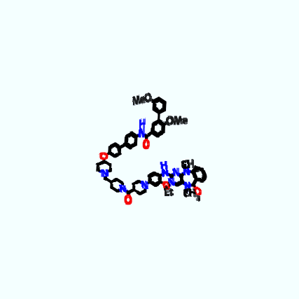 CCOc1cc(N2CCC(C(=O)N3CCC(CN4CCC(Oc5ccc(-c6ccc(NC(=O)c7ccc(OC)c(-c8cccc(OC)c8)c7)cc6)cc5)CC4)CC3)CC2)ccc1Nc1ncc2c(n1)N(C)c1ccccc1C(=O)N2C